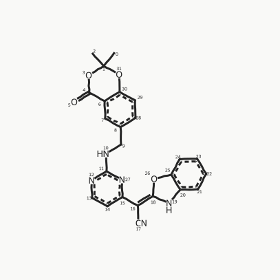 CC1(C)OC(=O)c2cc(CNc3nccc(C(C#N)=C4Nc5ccccc5O4)n3)ccc2O1